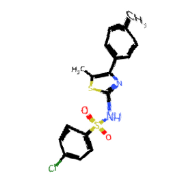 Cc1ccc(-c2nc(NS(=O)(=O)c3ccc(Cl)cc3)sc2C)cc1